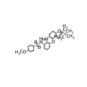 COc1ccc(S(=O)(=O)Nc2cccc3c2Nc2ccc(O[Si](C)(C)C(C)(C)C)cc2O3)cc1